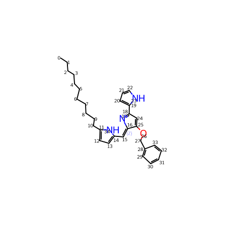 CCCCCCCCCCCc1ccc(/C=C2\N=C(c3ccc[nH]3)C=C2OCc2ccccc2)[nH]1